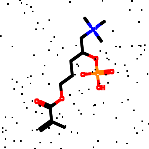 C=C(C)C(=O)OCCCC(C[N+](C)(C)C)OP(=O)([O-])O